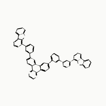 c1cc(-c2cccc(-c3cccc4c3oc3ccccc34)c2)cc(-c2ccc3c(c2)c2cc(-c4cccc(-c5cccc6c5oc5ccccc56)c4)ccc2c2nccnc32)c1